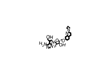 Nc1ncnc2c1c(CO)cn2[C@@H]1O[C@H](COc2ccc3ccc(N4CCC4)nc3c2)[C@@H](O)[C@@H]1F